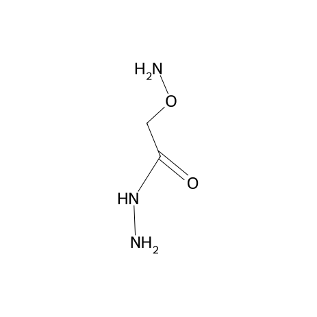 NNC(=O)CON